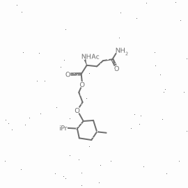 CC(=O)N[C@@H](CCC(N)=O)C(=O)OCCOC1CC(C)CCC1C(C)C